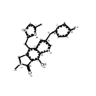 Cc1cnc(Cc2c3c(c(O)c4ncc(Cc5ccc(F)cc5)cc24)C(=O)N(C)C3)o1